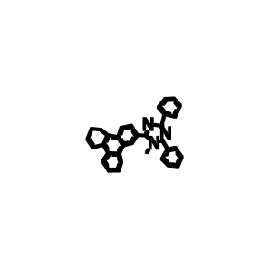 CN1C(c2ccc3c4c(c5ccccc5c3c2)C=CCC4)=NC(c2ccccc2)=NC1c1ccccc1